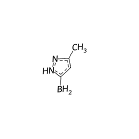 Bc1cc(C)n[nH]1